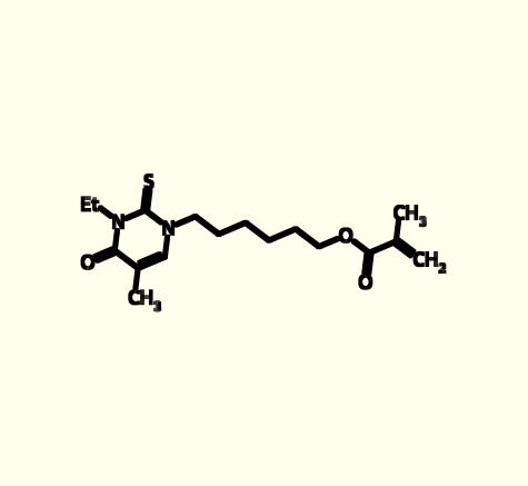 C=C(C)C(=O)OCCCCCCn1cc(C)c(=O)n(CC)c1=S